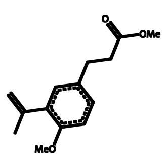 C=C(C)c1cc(CCC(=O)OC)ccc1OC